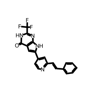 O=c1[nH]c(C(F)(F)F)nc2[nH]c(-c3ccnc(/C=C/c4ccccc4)c3)cc12